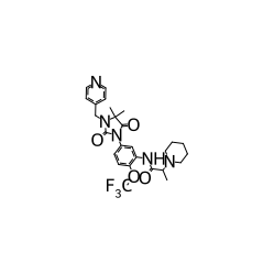 CC(C(=O)Nc1cc(N2C(=O)N(Cc3ccncc3)C(C)(C)C2=O)ccc1OC(F)(F)F)N1CCCCC1